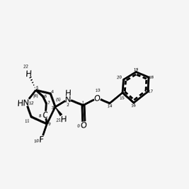 O=C(N[C@H]1C[C@H]2CCCC1(F)CN2)OCc1ccccc1